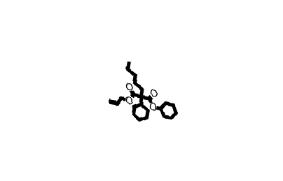 C=CCOC(=O)C(CCCCC)(C(=O)OC1CCCCC1)C1CCCCC1